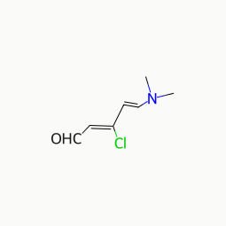 CN(C)C=CC(Cl)=CC=O